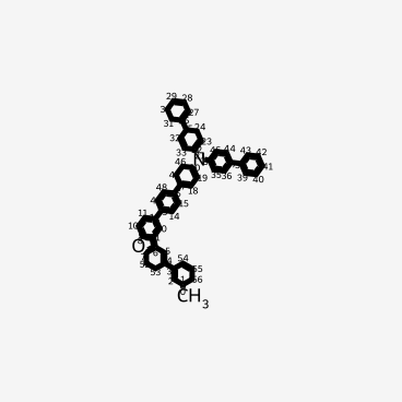 CC1C=C(C2=Cc3c(oc4ccc(-c5ccc(C6=CC=C(N(C7=CCC(C8=CC=CCC8)C=C7)c7ccc(-c8ccccc8)cc7)CC6)cc5)cc34)CC2)C=CC1